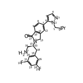 CC(C)Cn1nccc1-c1ccc2c(c1)CN([C@H](CN)Cc1cc(F)cc(F)c1)C2=O